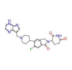 O=C1CCC(N2Cc3cc(C4CCN(Cc5cnc6[nH]ccnc5-6)CC4)c(F)cc3C2=O)C(=O)N1